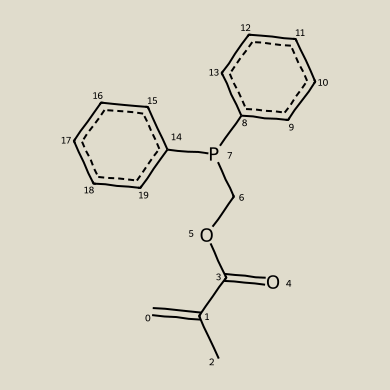 C=C(C)C(=O)OCP(c1ccccc1)c1ccccc1